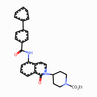 CCOC(=O)N1CCC(n2ccc3c(NC(=O)c4ccc(-c5ccccc5)cc4)cccc3c2=O)CC1